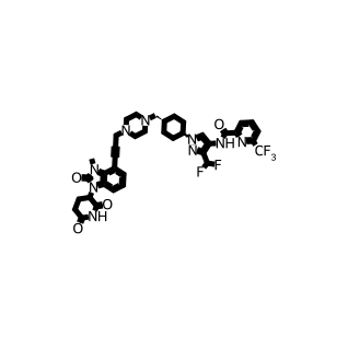 Cn1c(=O)n(C2CCC(=O)NC2=O)c2cccc(C#CCN3CCN(C[C@H]4CC[C@H](n5cc(NC(=O)c6cccc(C(F)(F)F)n6)c(C(F)F)n5)CC4)CC3)c21